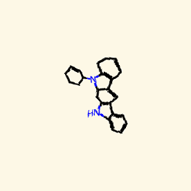 C1=CC(N2C3=C(C=CCC3)C3=Cc4c([nH]c5ccccc45)CC32)CCC1